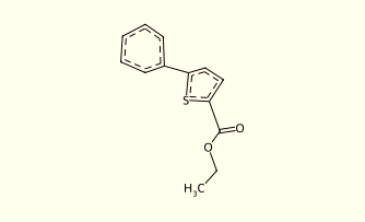 CCOC(=O)c1ccc(-c2ccccc2)s1